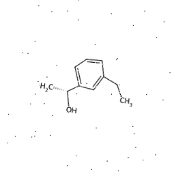 [CH2][C@@H](O)c1cccc(CC)c1